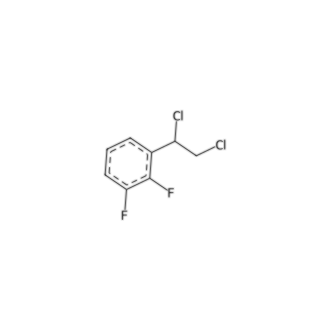 Fc1cccc(C(Cl)CCl)c1F